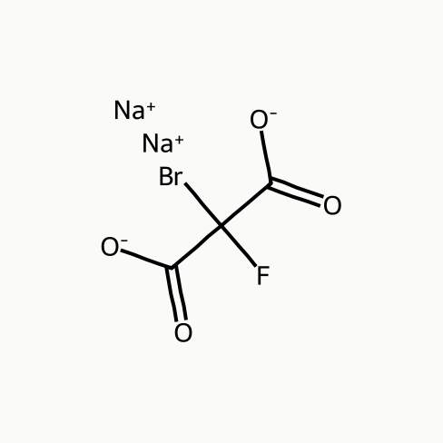 O=C([O-])C(F)(Br)C(=O)[O-].[Na+].[Na+]